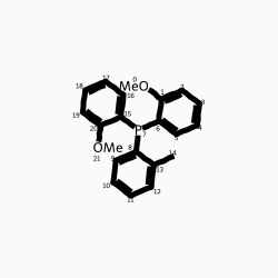 COc1ccccc1P(c1ccccc1C)c1ccccc1OC